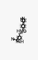 N#Cc1c[nH]c2ccc(CCNC(=O)c3ccc(-c4ccnnc4)cc3)cc12